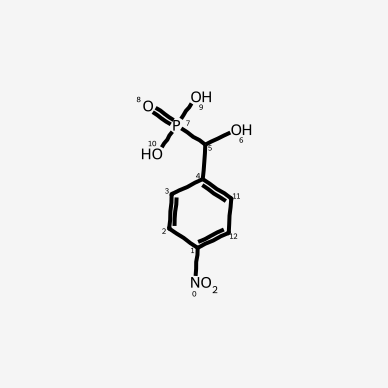 O=[N+]([O-])c1ccc(C(O)P(=O)(O)O)cc1